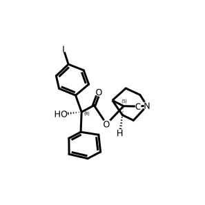 O=C(O[C@@H]1CN2CCC1CC2)[C@@](O)(c1ccccc1)c1ccc(I)cc1